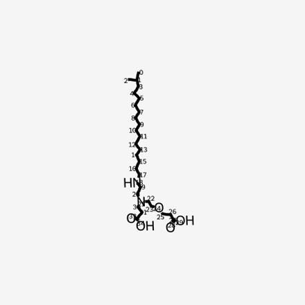 CC(C)CCCCCCCCCCCCCCCNCCN(CCOCCC(=O)O)CCC(=O)O